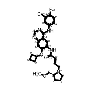 COC[C@@H]1CCCN1CC=CC(=O)Nc1cc2c(Nc3ccc(F)c(Cl)c3)ncnc2cc1OC1CCC1